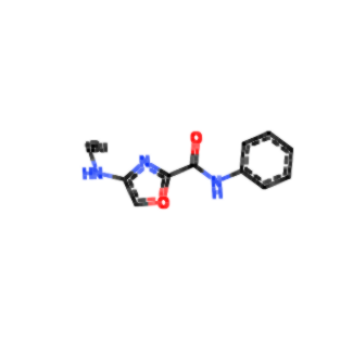 CC(C)(C)Nc1coc(C(=O)Nc2ccccc2)n1